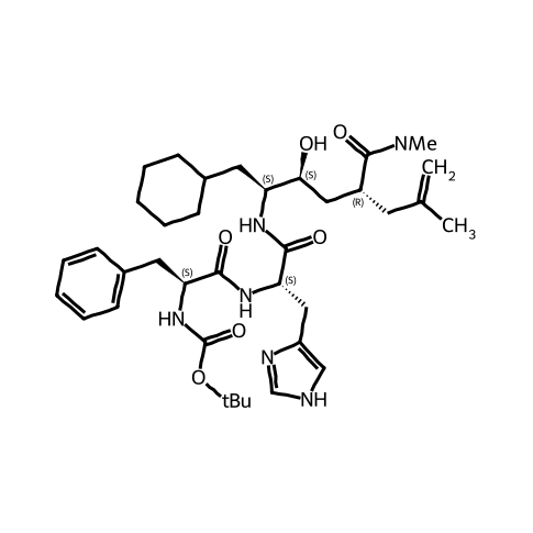 C=C(C)C[C@H](C[C@H](O)[C@H](CC1CCCCC1)NC(=O)[C@H](Cc1c[nH]cn1)NC(=O)[C@H](Cc1ccccc1)NC(=O)OC(C)(C)C)C(=O)NC